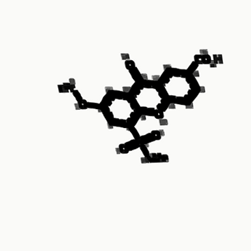 CCCOc1cc(S(=O)(=O)NC)c2oc3ccc(C(=O)O)cc3c(=O)c2c1